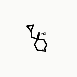 Cl.O=P1(CC2CC2)CCNCC1